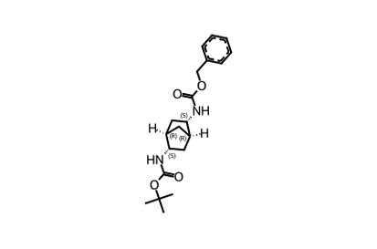 CC(C)(C)OC(=O)N[C@H]1C[C@H]2C[C@@H]1C[C@@H]2NC(=O)OCc1ccccc1